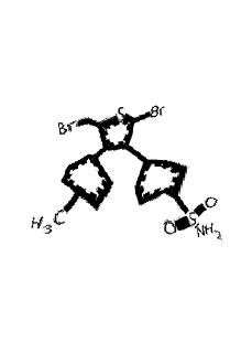 Cc1ccc(-c2c(Br)sc(Br)c2-c2ccc(S(N)(=O)=O)cc2)cc1